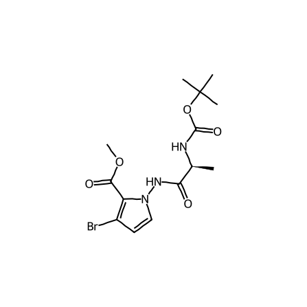 COC(=O)c1c(Br)ccn1NC(=O)[C@H](C)NC(=O)OC(C)(C)C